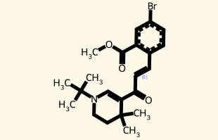 COC(=O)c1cc(Br)ccc1/C=C/C(=O)C1=CN(C(C)(C)C)CCC1(C)C